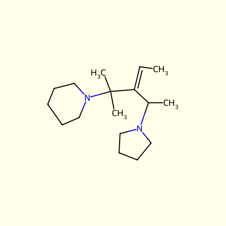 C/C=C(\C(C)N1CCCC1)C(C)(C)N1CCCCC1